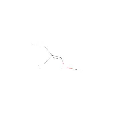 CCOC(=O)C(C#N)=COC(C)C